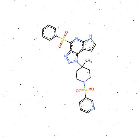 CC1(n2nnc3c(S(=O)(=O)c4ccccc4)nc4[nH]ccc4c32)CCN(S(=O)(=O)c2cccnc2)CC1